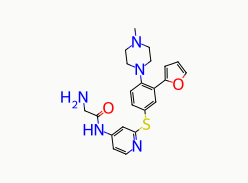 CN1CCN(c2ccc(Sc3cc(NC(=O)CN)ccn3)cc2-c2ccco2)CC1